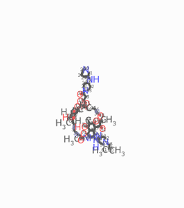 C/C1=C/C=C/C(C)[C@H](O)[C@@H](C)[C@@H](O)C[C@H](OC(=O)CC(=O)N2CCC(Nc3cccnc3)CC2)CC/C=C/O[C@@]2(C)Oc3c(C)c(O)c4c(c3C2=O)C2=NC3(CCN(CC(C)C)CC3)NC2=C(NC1=O)C4=O